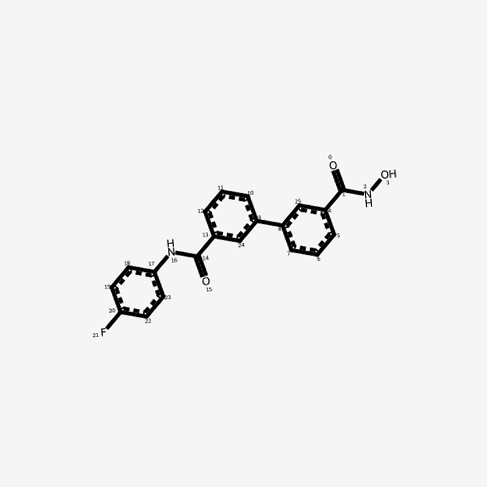 O=C(NO)c1cccc(-c2cccc(C(=O)Nc3ccc(F)cc3)c2)c1